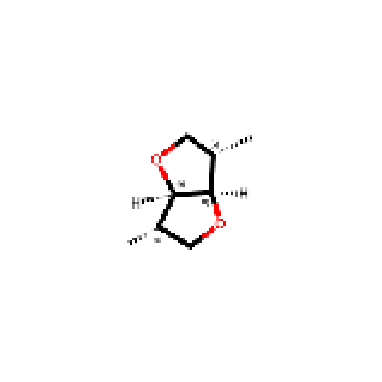 C[C@H]1CO[C@H]2[C@@H]1OC[C@@H]2C